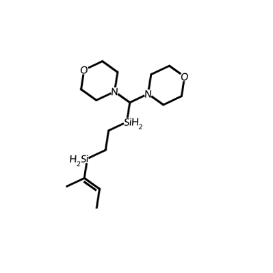 CC=C(C)[SiH2]CC[SiH2]C(N1CCOCC1)N1CCOCC1